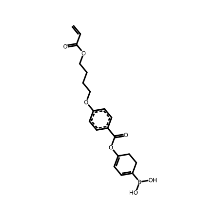 C=CC(=O)OCCCCOc1ccc(C(=O)OC2=CC=C(B(O)O)CC2)cc1